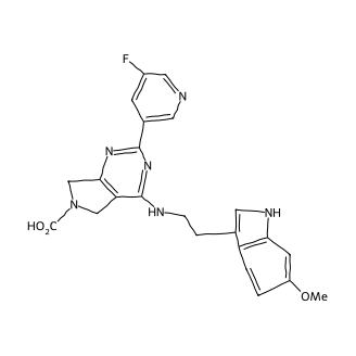 COc1ccc2c(CCNc3nc(-c4cncc(F)c4)nc4c3CN(C(=O)O)C4)c[nH]c2c1